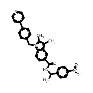 Cc1c(C)n(Cc2ccc(-c3ccncc3)cc2)c2ccc(C(=O)NC(C)c3ccc([N+](=O)[O-])cc3)cc12